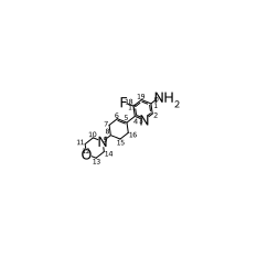 Nc1cnc(C2=CCC(N3CCOCC3)CC2)c(F)c1